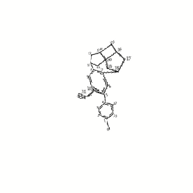 Cc1ccc(-c2cc3c(cc2Br)C2CC4CC5CC3CC45C2)cc1